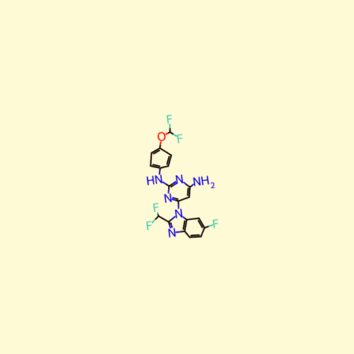 Nc1cc(-n2c(C(F)F)nc3ccc(F)cc32)nc(Nc2ccc(OC(F)F)cc2)n1